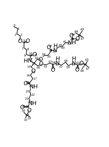 CCCCOC(=O)CCCC(=O)NC(COCCC(=O)NCCCNC(=O)OC(C)(C)C)(COCCC(=O)NCCCNC(=O)OC(C)(C)C)COCCC(=O)NCCCNC(=O)OC(C)(C)C